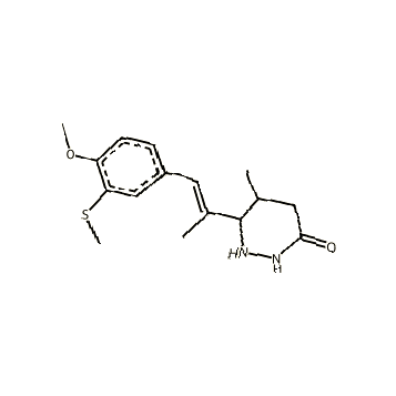 COc1ccc(/C=C(\C)C2NNC(=O)CC2C)cc1SC